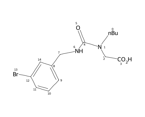 CCCCN([CH]C(=O)O)C(=O)NCc1cccc(Br)c1